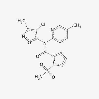 Cc1ccc(N(C(=O)c2sccc2S(N)(=O)=O)c2onc(C)c2Cl)nc1